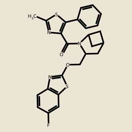 Cc1nc(C(=O)N2C(COc3nc4ccc(F)cc4s3)CC3CC2C3)c(-c2ccccc2)s1